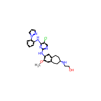 COc1cc2c(cc1Nc1ncc(Cl)c(Nc3ccccc3-n3cccn3)n1)CCC(NCCO)CC2